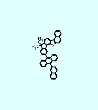 CC1(C)c2ccc(-c3c4ccccc4c(-c4ccc5ccccc5c4)c4ccccc34)cc2-c2c1ccc1c2sc2ccc3ccccc3c21